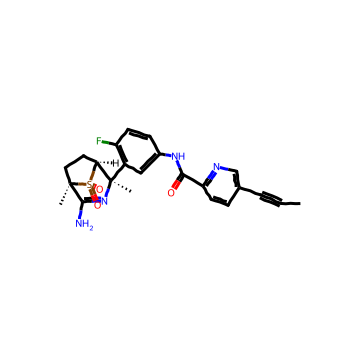 CC#Cc1ccc(C(=O)Nc2ccc(F)c([C@@]3(C)N=C(N)[C@@]4(C)CC[C@@H]3S4(=O)=O)c2)nc1